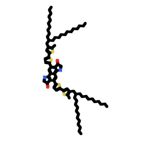 CCCCCCCCCCCCC(CCCCCCCCCC)Cc1cc(-c2ccc(-c3cc4c(cc(-c5ccc(-c6cc(CC(CCCCCCCCCC)CCCCCCCCCCCC)c(C)s6)s5)c5c(=O)cnc54)c4ncc(=O)c34)s2)sc1C